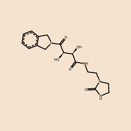 O=C(NCCN1CCNC1=O)[C@H](O)[C@@H](O)C(=O)N1Cc2ccccc2C1